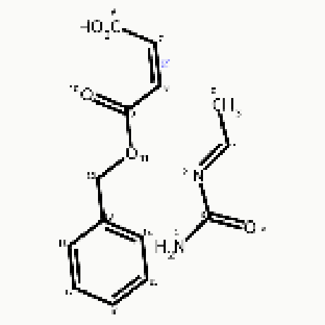 CC=NC(N)=O.O=C(O)/C=C\C(=O)OCc1ccccc1